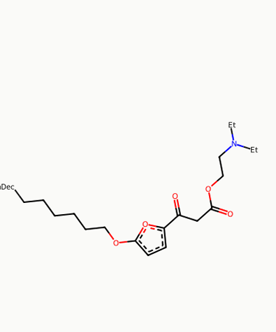 CCCCCCCCCCCCCCCCOc1ccc(C(=O)CC(=O)OCCN(CC)CC)o1